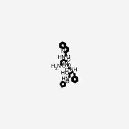 NC(=O)CC(NC(=O)c1ccc2ccccc2n1)C(=O)NOC(=O)N[C@@H](Cc1ccccc1)[C@H](O)CNOC1CCCC1